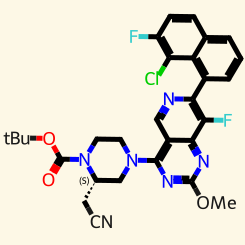 COc1nc(N2CCN(C(=O)OC(C)(C)C)[C@@H](CC#N)C2)c2cnc(-c3cccc4ccc(F)c(Cl)c34)c(F)c2n1